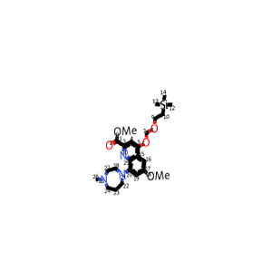 COC(=O)c1cc(OCOCC[Si](C)(C)C)c2cc(OC)cc(N3CCCN(C)CC3)c2n1